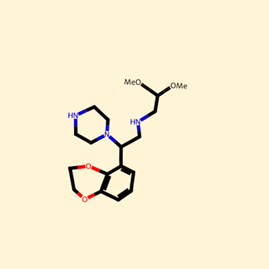 COC(CNCC(c1cccc2c1OCCO2)N1CCNCC1)OC